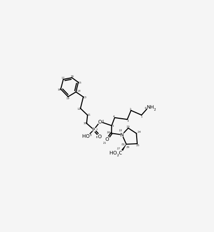 NCCCCC(OP(=O)(O)CCCCc1ccccc1)C(=O)N1CCC[C@H]1C(=O)O